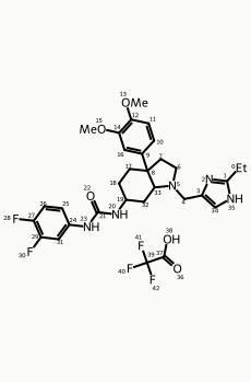 CCc1nc(CN2CCC3(c4ccc(OC)c(OC)c4)CCC(NC(=O)Nc4ccc(F)c(F)c4)CC23)c[nH]1.O=C(O)C(F)(F)F